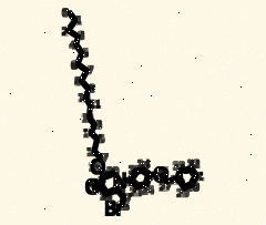 CCCCCCCCCCCCCCCCCCOc1cn(-c2ccc(OCc3ccccc3)cc2)c(CBr)cc1=O